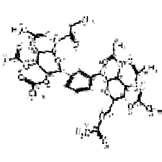 CCC(=O)O[C@H]1O[C@H](c2cccc(O[C@H]3O[C@H](COC(C)=O)[C@@H](OC(C)=O)[C@H](OC(C)=O)[C@@H]3OC(C)=O)c2)[C@@H](OC(C)=O)[C@@H](OC(C)=O)[C@H]1OC(C)=O